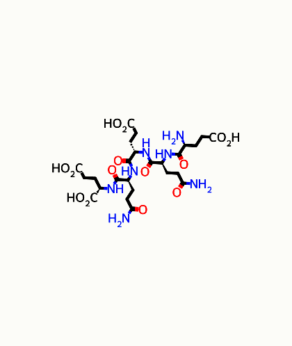 NC(=O)CC[C@H](NC(=O)[C@H](CCC(=O)O)NC(=O)[C@H](CCC(N)=O)NC(=O)[C@@H](N)CCC(=O)O)C(=O)N[C@@H](CCC(=O)O)C(=O)O